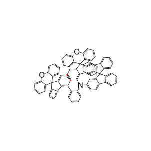 c1ccc2c(c1)Oc1ccccc1C21c2ccccc2-c2c(-c3ccccc3N(c3ccc4c(c3)C3(c5ccccc5-c5ccccc53)c3ccccc3-4)c3cccc4c3-c3ccccc3C43c4ccccc4Oc4ccccc43)cccc21